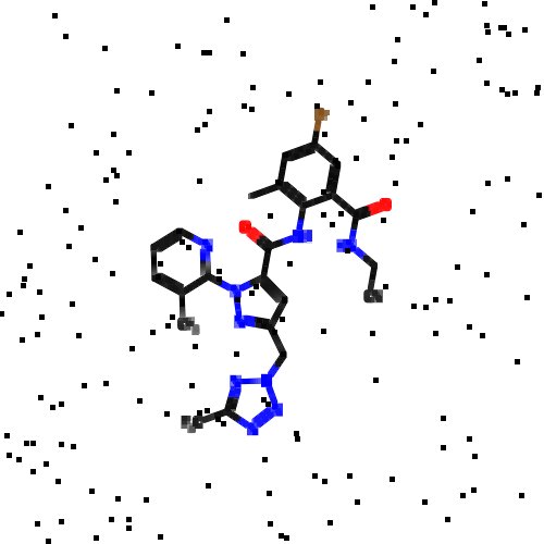 Cc1cc(Br)cc(C(=O)NCC#N)c1NC(=O)c1cc(Cn2nnc(C(F)(F)F)n2)nn1-c1ncccc1C(F)(F)F